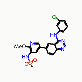 COc1ncc(-c2ccc3ncnc(Nc4cccc(Cl)c4)c3c2)cc1NS(C)(=O)=O